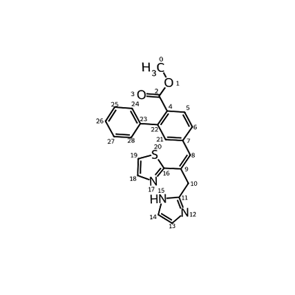 COC(=O)c1ccc(C=C(Cc2ncc[nH]2)c2nccs2)cc1-c1ccccc1